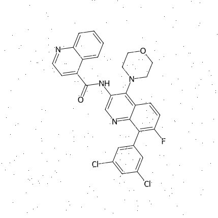 O=C(Nc1cnc2c(-c3cc(Cl)cc(Cl)c3)c(F)ccc2c1N1CCOCC1)c1ccnc2ccccc12